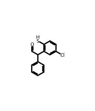 O=CC(c1ccccc1)c1cc(Cl)ccc1S